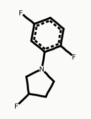 Fc1ccc(F)c(N2CCC(F)C2)c1